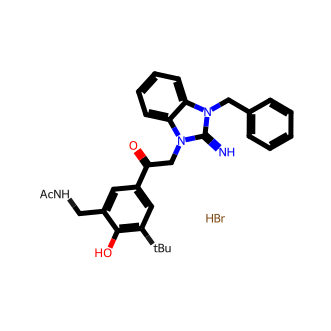 Br.CC(=O)NCc1cc(C(=O)Cn2c(=N)n(Cc3ccccc3)c3ccccc32)cc(C(C)(C)C)c1O